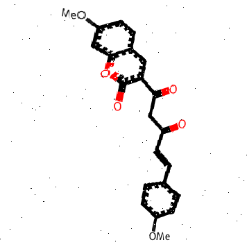 COc1ccc(C=CC(=O)CC(=O)c2cc3ccc(OC)cc3oc2=O)cc1